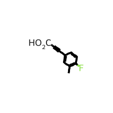 Cc1cc(C#CC(=O)O)ccc1F